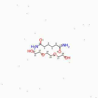 NC(=O)CCCCC(N)=O.OCCOCCOCCO